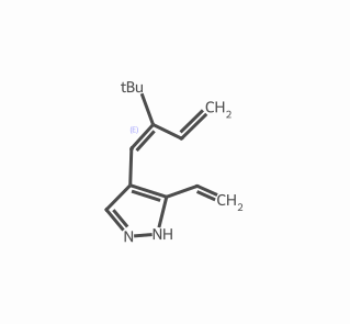 C=C/C(=C\c1cn[nH]c1C=C)C(C)(C)C